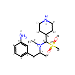 CCCN(C(C)Cc1cccc(N)c1)C(C1CCNCC1)S(C)(=O)=O